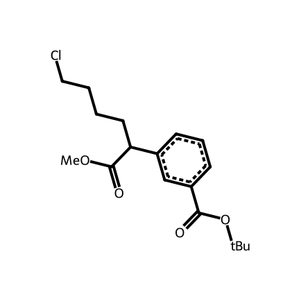 COC(=O)C(CCCCCl)c1cccc(C(=O)OC(C)(C)C)c1